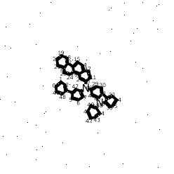 c1ccc(-c2cccc(N(c3ccc4ccc5c6ccccc6ccc5c4c3)c3ccc4c5ccccc5n(-c5ccccc5)c4c3)c2)cc1